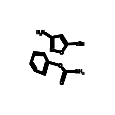 CCCCc1cc(N)no1.NC(=O)Oc1ccccc1